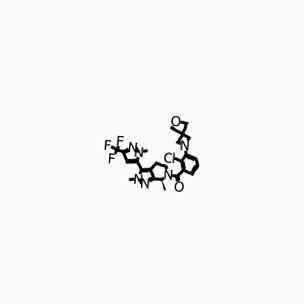 C[C@H]1c2nn(C)c(-c3cc(C(F)(F)F)nn3C)c2CCN1C(=O)c1cccc(N2CC3(COC3)C2)c1Cl